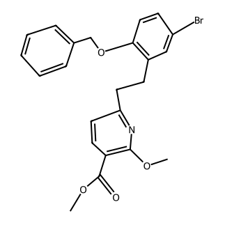 COC(=O)c1ccc(CCc2cc(Br)ccc2OCc2ccccc2)nc1OC